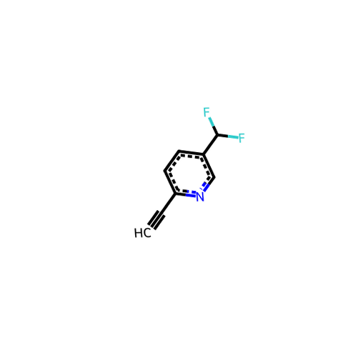 C#Cc1ccc(C(F)F)cn1